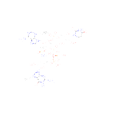 CCCCS(=O)(=O)NC[C@H]1[C@@H](O)[C@H](n2c[n+](C)c3c(=O)[nH]c(N)nc32)O[C@@H]1COP(=O)(O)OP(=O)(O)OP(=O)(O)OC[C@H]1O[C@@H](n2cnc3c(N)ncnc32)[C@H](OC)[C@@H]1OP(=O)(O)OC[C@H]1O[C@@H](n2ccc(=O)[nH]c2=O)[C@H](O)[C@@H]1O